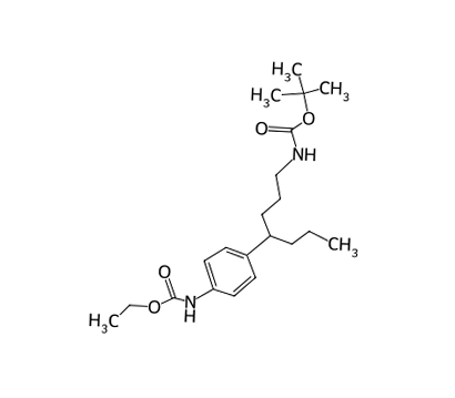 CCCC(CCCNC(=O)OC(C)(C)C)c1ccc(NC(=O)OCC)cc1